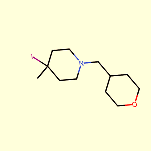 CC1(I)CCN(CC2CCOCC2)CC1